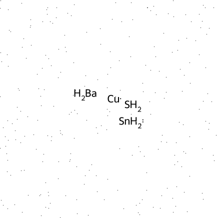 S.[BaH2].[Cu].[SnH2]